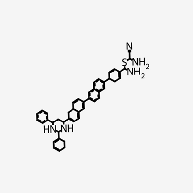 N#CC(N)SC(N)C1=CCC(c2ccc3cc(C4=CC5=CC=C(C6CC(c7ccccc7)NC(C7=CC=CCC7)N6)CC5C=C4)ccc3c2)C=C1